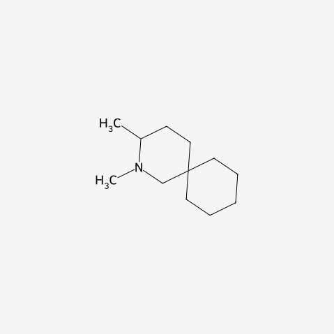 CC1CCC2(CCCCC2)CN1C